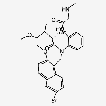 CNCC(=O)N[C@H](C(=O)N(Cc1c(OC)ccc2cc(Br)ccc12)c1ccccc1O)C(C)COC